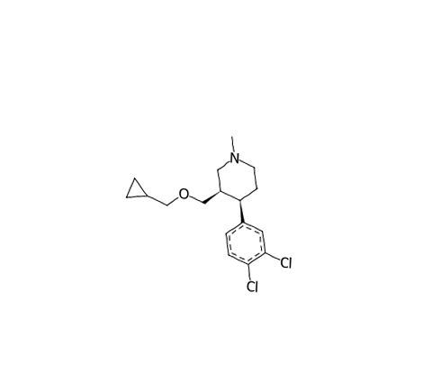 CN1CC[C@@H](c2ccc(Cl)c(Cl)c2)[C@@H](COCC2CC2)C1